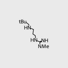 CNC(=N)NCCCNCC(C)(C)C